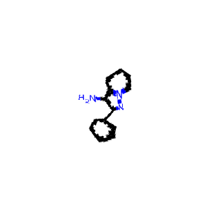 Nc1c(-c2ccccc2)nn2ccccc12